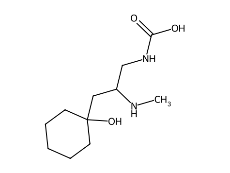 CNC(CNC(=O)O)CC1(O)CCCCC1